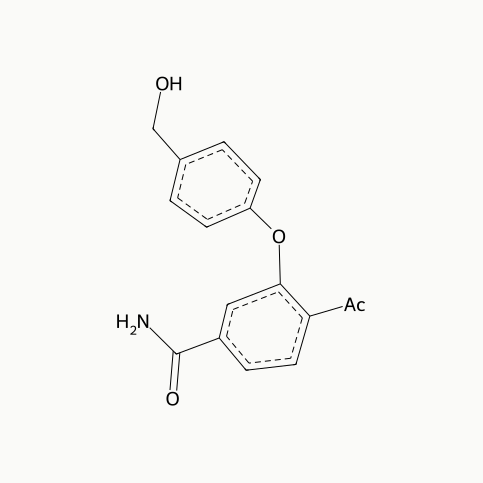 CC(=O)c1ccc(C(N)=O)cc1Oc1ccc(CO)cc1